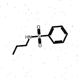 CC[CH]NS(=O)(=O)c1ccccc1